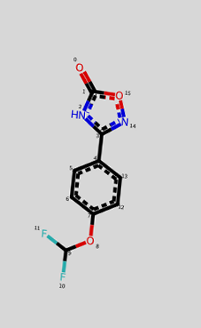 O=c1[nH]c(-c2ccc(OC(F)F)cc2)no1